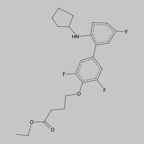 CCOC(=O)CCCOc1c(F)cc(-c2cc(F)ccc2NC2CCCC2)cc1F